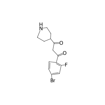 O=C(CC(=O)C1CCNCC1)c1ccc(Br)cc1F